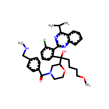 CNCc1ccc(C(=O)N2CCOC(C(O)(CCCCOC)c3cccc(Cl)c3-c3nc(C(C)C)c4ccccc4n3)C2)cc1